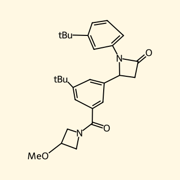 COC1CN(C(=O)c2cc(C3CC(=O)N3c3cccc(C(C)(C)C)c3)cc(C(C)(C)C)c2)C1